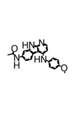 COc1ccc(Nc2ccnc3[nH]c4cc(NC(C)=O)ccc4c23)cc1